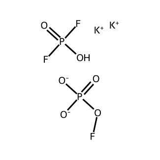 O=P(O)(F)F.O=P([O-])([O-])OF.[K+].[K+]